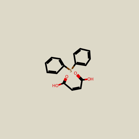 O=C(O)/C=C\C(=O)O.c1ccc(Sc2ccccc2)cc1